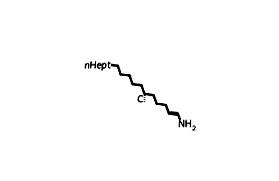 CCCCCCCCCCCCCCCCC=CN.[C]